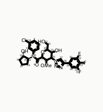 COC1C(C(=O)N(c2cccc(Cl)c2)[C@H]2CCC[C@@H]2O)OC(CO)C(O)C1n1cc(-c2cc(F)c(F)c(F)c2)nn1